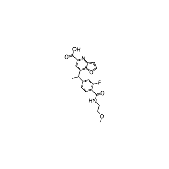 COCCNC(=O)c1ccc(C(C)c2cc(C(=O)O)nc3ccoc23)cc1F